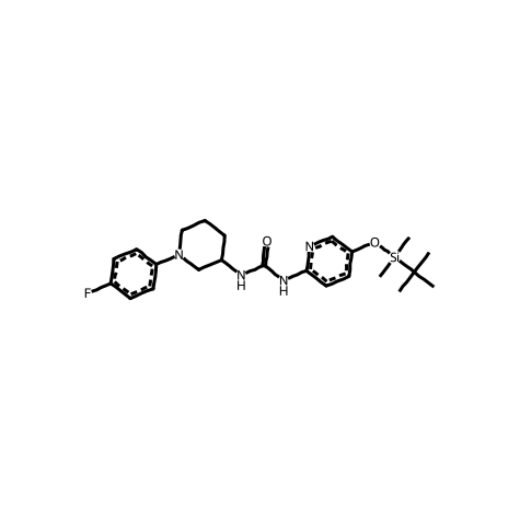 CC(C)(C)[Si](C)(C)Oc1ccc(NC(=O)NC2CCCN(c3ccc(F)cc3)C2)nc1